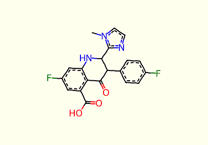 Cn1ccnc1C1Nc2cc(F)cc(C(=O)O)c2C(=O)C1c1ccc(F)cc1